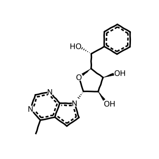 Cc1ncnc2c1ccn2[C@@H]1O[C@@H]([C@H](O)c2ccccc2)[C@@H](O)[C@H]1O